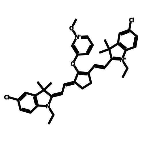 CCN1/C(=C/C=C2\CCC(/C=C/C3=[N+](CC)c4ccc(Cl)cc4C3(C)C)=C2Oc2ccc[n+](OC)c2)C(C)(C)c2cc(Cl)ccc21